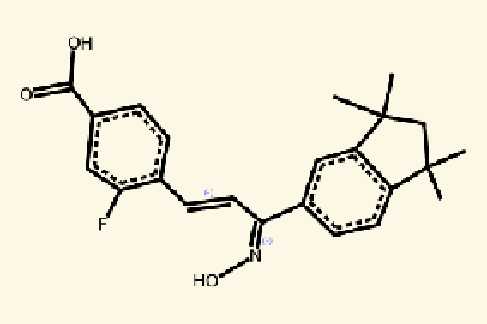 CC1(C)CC(C)(C)c2cc(C(/C=C/c3ccc(C(=O)O)cc3F)=N/O)ccc21